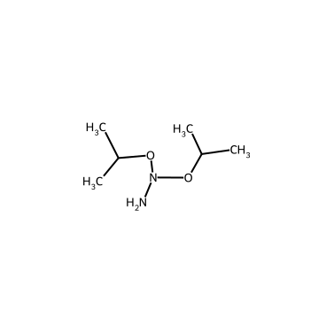 CC(C)ON(N)OC(C)C